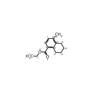 CCOC(=O)c1ccc(C)c2c1CCCC2